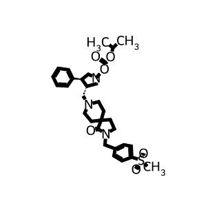 CC(C)OC(=O)ON1C[C@H](CN2CCC3(CC2)CCN(Cc2ccc(S(C)(=O)=O)cc2)C3=O)[C@@H](c2ccccc2)C1